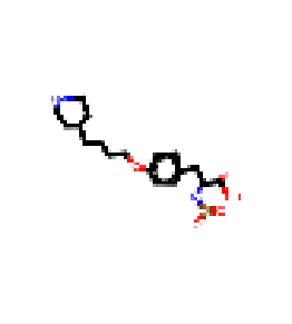 O=C(O)C(Cc1ccc(OCCCCC2CCNCC2)cc1)N=S(=O)=O